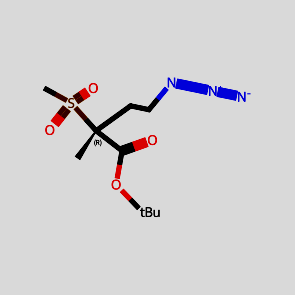 CC(C)(C)OC(=O)[C@@](C)(CCN=[N+]=[N-])S(C)(=O)=O